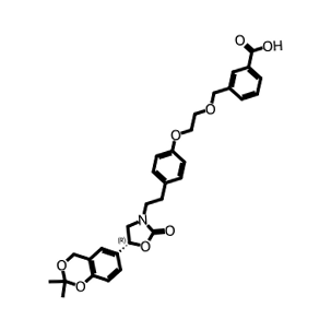 CC1(C)OCc2cc([C@@H]3CN(CCc4ccc(OCCOCc5cccc(C(=O)O)c5)cc4)C(=O)O3)ccc2O1